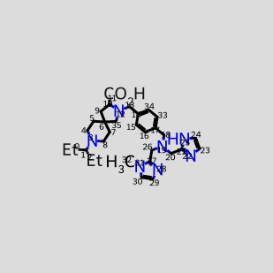 CCC(CC)N1CCC2(CC1)CC(C(=O)O)N(Cc1ccc(CN(Cc3ncc[nH]3)Cc3nccn3C)cc1)C2